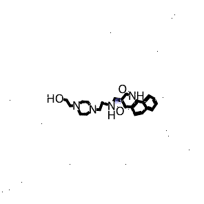 O=C1Nc2c(ccc3ccccc23)C(=O)/C1=C\NCCN1CCN(CCO)CC1